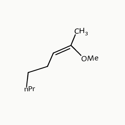 CCCCC/C=C(/C)OC